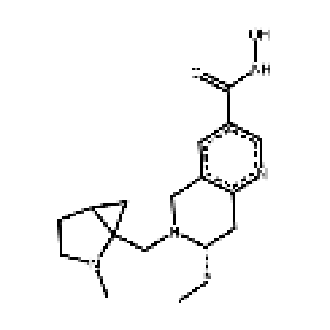 CC[C@H]1Cc2ncc(C(=O)NO)cc2CN1CC12CC1CCN2C